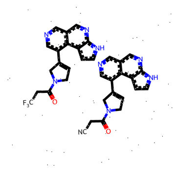 N#CCC(=O)N1CC=C(c2cncc3cnc4[nH]ccc4c23)C1.O=C(CC(F)(F)F)N1CC=C(c2cncc3cnc4[nH]ccc4c23)C1